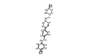 CC[C@H]1CC[C@H](CCC2CCC(c3ccc(CCc4ccc(Cl)cc4)cc3)CC2)CC1